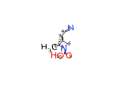 CC1C(=CC#N)CN1C(=O)O